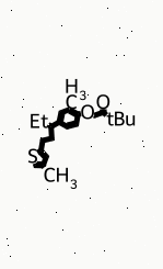 CCC(CCc1cc(C)cs1)c1ccc(OCC(=O)C(C)(C)C)c(C)c1